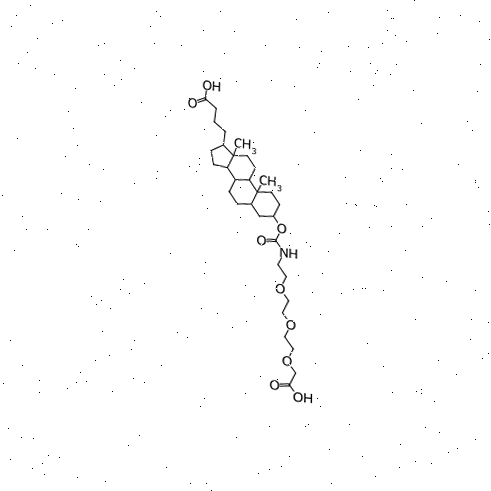 CC12CCC3C(CCC4CC(OC(=O)NCCOCCOCCOCC(=O)O)CCC43C)C1CCC2CCCC(=O)O